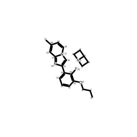 C1CN2CCC12.CCCOc1cccc(-c2cn3ccc(C)cc3n2)c1F